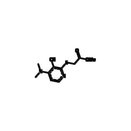 COC(=O)CSc1nccc(N(C)C)c1C#N